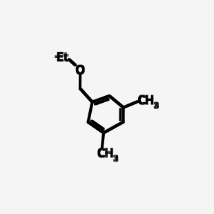 C[CH]OCc1cc(C)cc(C)c1